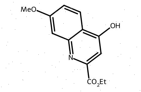 CCOC(=O)c1cc(O)c2ccc(OC)cc2n1